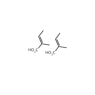 CC=C(C)C(=O)O.CC=C(C)C(=O)O